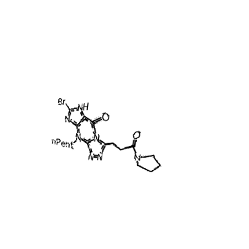 CCCCCn1c2nc(Br)[nH]c2c(=O)n2c(CCC(=O)N3CCCC3)nnc12